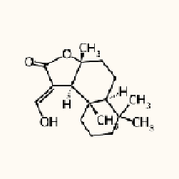 CC1(C)CCC[C@]2(C)[C@H]3/C(=C\O)C(=O)O[C@]3(C)CC[C@@H]12